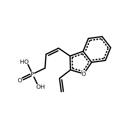 C=Cc1oc2ccccc2c1/C=C\CP(=O)(O)O